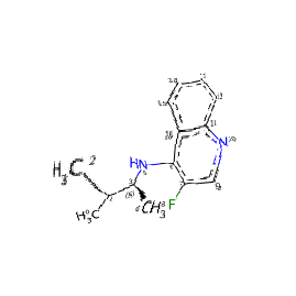 CC(C)[C@H](C)Nc1c(F)cnc2ccccc12